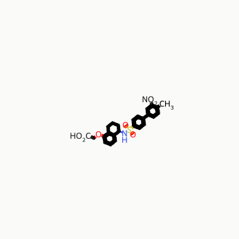 Cc1ccc(-c2ccc(S(=O)(=O)N[C@@H]3CCCc4c(OCC(=O)O)cccc43)cc2)cc1[N+](=O)[O-]